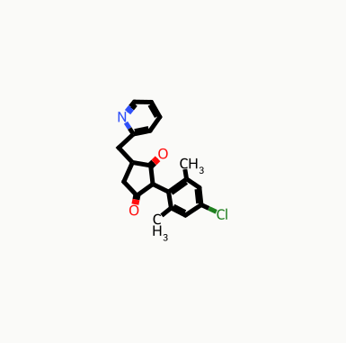 Cc1cc(Cl)cc(C)c1C1C(=O)CC(Cc2ccccn2)C1=O